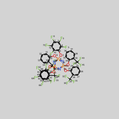 Fc1c(F)c(F)c(OP2(Oc3ccccc3C(F)(F)F)=NP(Oc3ccccc3C(F)(F)F)(Oc3ccccc3C(F)(F)F)=NP(Oc3ccccc3C(F)(F)F)(Oc3c(F)c(F)c(F)c(F)c3F)=N2)c(F)c1F